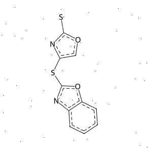 [S]c1nc(Sc2nc3ccccc3o2)co1